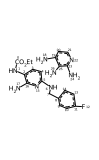 CCOC(=O)Nc1ccc(NCc2ccc(F)cc2)nc1N.Nc1ccnc(N)c1N